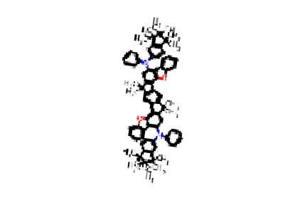 CC1(C)c2cc3c(cc2-c2c1cc(N(c1ccccc1)c1ccc4c(c1)C(C)(C)C(C)(C)C4(C)C)c1c2oc2ccccc21)C(C)(C)c1cc(N(c2ccccc2)c2ccc4c(c2)C(C)(C)C(C)(C)C4(C)C)c2c(oc4ccccc42)c1-3